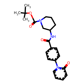 CC(C)(C)OC(=O)N1CCCC(NC(=O)c2ccc(-n3ccccc3=O)cc2)C1